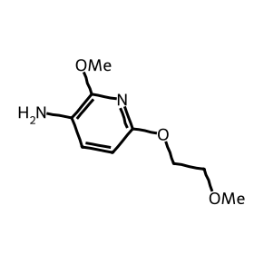 COCCOc1ccc(N)c(OC)n1